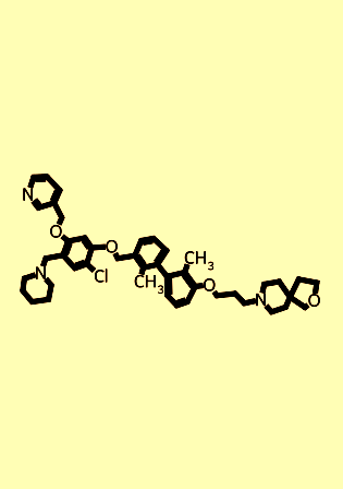 Cc1c(COc2cc(OCc3cccnc3)c(CN3CCCCC3)cc2Cl)cccc1-c1cccc(OCCCN2CCC3(CCOC3)CC2)c1C